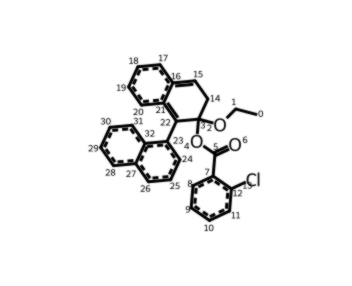 CCOC1(OC(=O)c2ccccc2Cl)CC=c2ccccc2=C1c1cccc2ccccc12